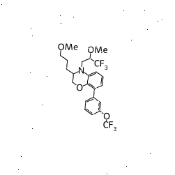 COCCCC1COc2c(-c3cccc(OC(F)(F)F)c3)cccc2N1CC(OC)C(F)(F)F